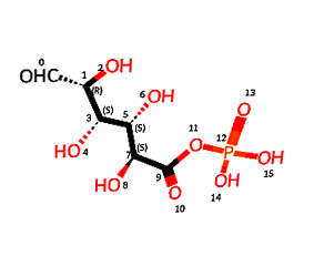 O=C[C@H](O)[C@@H](O)[C@H](O)[C@H](O)C(=O)OP(=O)(O)O